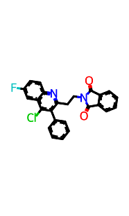 O=C1c2ccccc2C(=O)N1CCc1nc2ccc(F)cc2c(Cl)c1-c1ccccc1